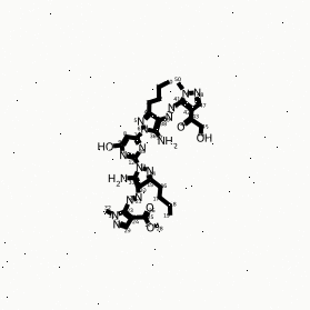 CCCCc1nn(-c2cc(O)nc(-n3nc(CCCC)c(/N=N/c4c(C(=O)OC)cnn4C)c3N)n2)c(N)c1/N=N/c1c(C(=O)CO)cnn1C